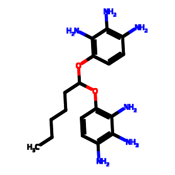 CCCCCC(Oc1ccc(N)c(N)c1N)Oc1ccc(N)c(N)c1N